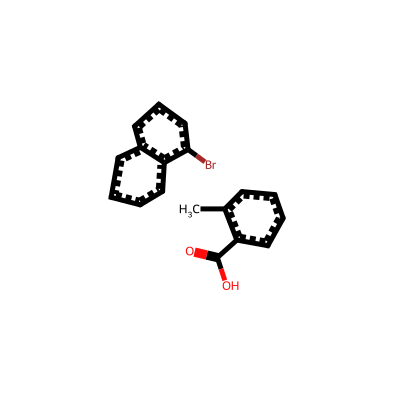 Brc1cccc2ccccc12.Cc1ccccc1C(=O)O